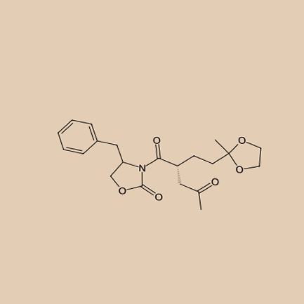 CC(=O)C[C@@H](CCC1(C)OCCO1)C(=O)N1C(=O)OCC1Cc1ccccc1